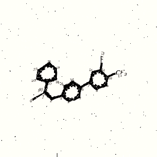 C[C@H](Cc1ccc(-c2ccc(C(F)(F)F)c(F)c2)cc1)c1ccccc1